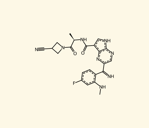 CNc1cc(F)ccc1C(=N)c1cnc2[nH]cc(C(=O)N[C@H](C)C(=O)N3CC(C#N)C3)c2n1